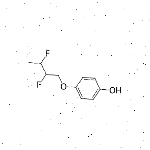 CC(F)C(F)COc1ccc(O)cc1